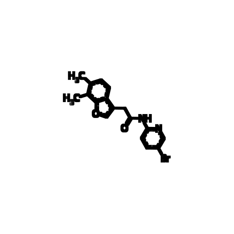 Cc1ccc2c(CC(=O)Nc3ccc(Br)cn3)coc2c1C